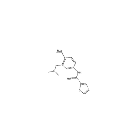 CSc1ccc(NC(=N)c2cccs2)cc1CN(C)C